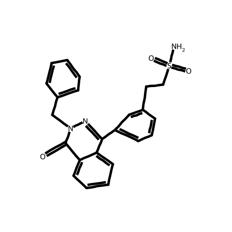 NS(=O)(=O)CCc1cccc(-c2nn(Cc3ccccc3)c(=O)c3ccccc23)c1